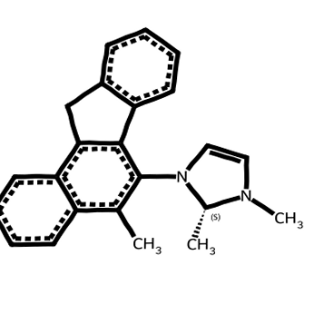 Cc1c(N2C=CN(C)[C@@H]2C)c2c(c3ccccc13)Cc1ccccc1-2